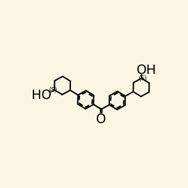 O=C(c1ccc(C2CCC[C@H](O)C2)cc1)c1ccc(C2CCC[C@H](O)C2)cc1